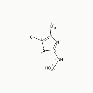 O=C(O)Nc1nc(C(F)(F)F)c(Cl)s1